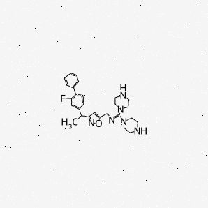 CC(c1ccc(-c2ccccc2)c(F)c1)c1cc(CN=C(N2CCNCC2)N2CCNCC2)on1